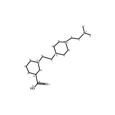 CN(C)CCN1CCN(CCN2CCCC(C(=O)O)C2)CC1